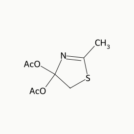 CC(=O)OC1(OC(C)=O)CSC(C)=N1